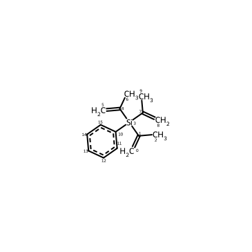 C=C(C)[Si](C(=C)C)(C(=C)C)c1ccccc1